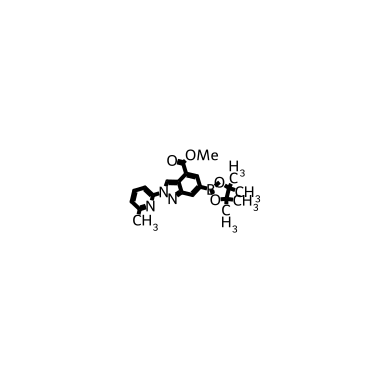 COC(=O)c1cc(B2OC(C)(C)C(C)(C)O2)cc2nn(-c3cccc(C)n3)cc12